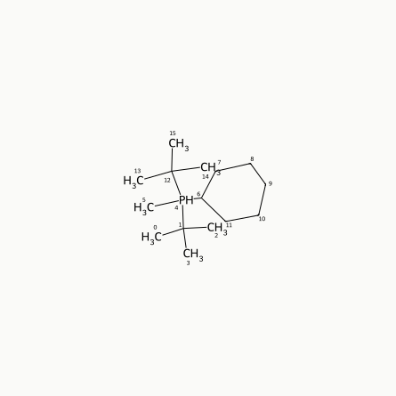 CC(C)(C)[PH](C)(C1CCCCC1)C(C)(C)C